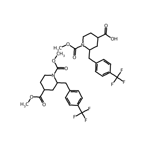 COC(=O)C1CCN(C(=O)OC)C(Cc2ccc(C(F)(F)F)cc2)C1.COC(=O)N1CCC(C(=O)O)CC1Cc1ccc(C(F)(F)F)cc1